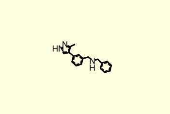 Cc1n[nH]cc1-c1cccc(CNCc2ccccc2)c1